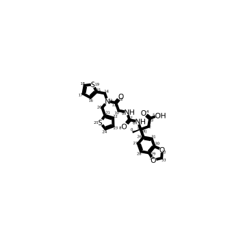 C[C@](CC(=O)O)(NC(=O)NCC(=O)N(Cc1cccs1)Cc1cccs1)c1ccc2c(c1)OCO2